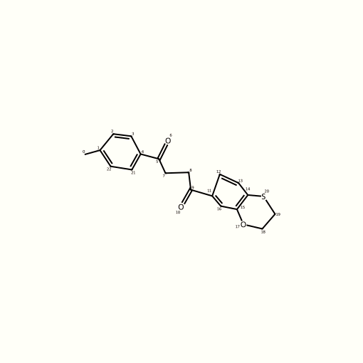 Cc1ccc(C(=O)CCC(=O)c2ccc3c(c2)OCCS3)cc1